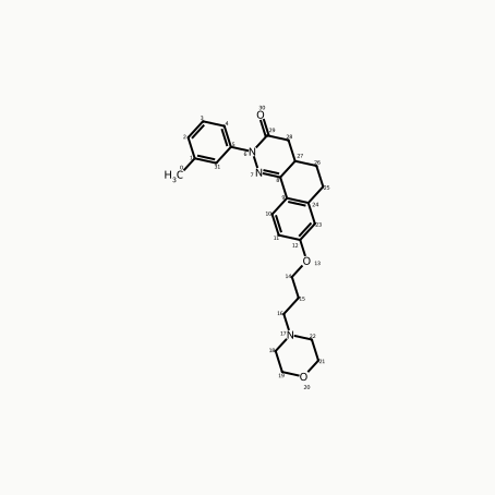 Cc1cccc(N2N=C3c4ccc(OCCCN5CCOCC5)cc4CCC3CC2=O)c1